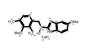 COc1ccc2[nH]c([S@@+]([O-])Cc3ncc(C)c(OC)c3C)nc2c1.[CaH2]